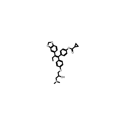 CCC(=C(c1ccc(OCC(O)CN(C)C)cc1)c1ccc(OC(=O)C2CC2)cc1)c1ccc2c(c1)OCO2